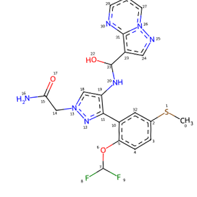 CSc1ccc(OC(F)F)c(-c2nn(CC(N)=O)cc2NC(O)c2cnn3cccnc23)c1